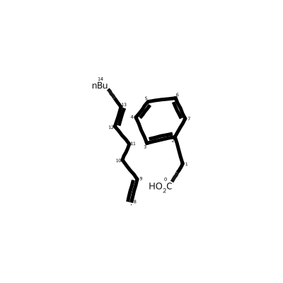 O=C(O)Cc1ccccc1.[CH]=CCCC=CCCCC